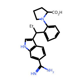 CCC(c1ccccc1N1CCCC1C(=O)O)c1c[nH]c2cc(C(=N)N)ccc12